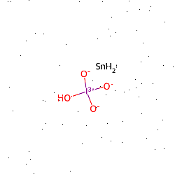 [O-][I+3]([O-])([O-])O.[SnH2]